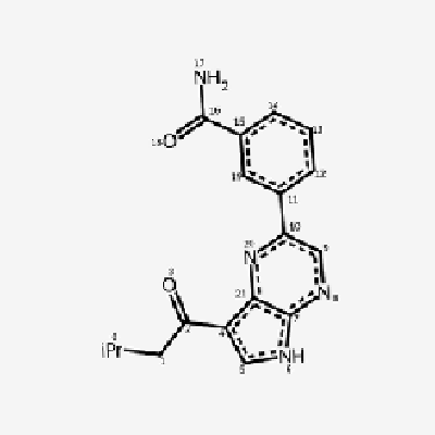 CC(C)CC(=O)c1c[nH]c2ncc(-c3cccc(C(N)=O)c3)nc12